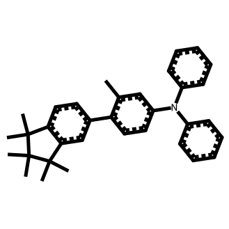 Cc1cc(N(c2ccccc2)c2ccccc2)ccc1-c1ccc2c(c1)C(C)(C)C(C)(C)C2(C)C